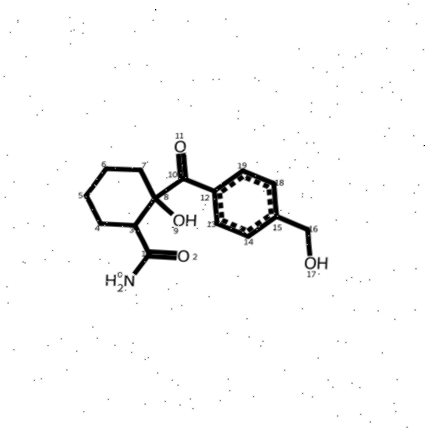 NC(=O)C1CCCCC1(O)C(=O)c1ccc(CO)cc1